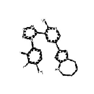 Cc1ccc(-n2nnnc2-c2cc(-c3cc4c(s3)CCCCN4)cnc2N)c(F)c1F